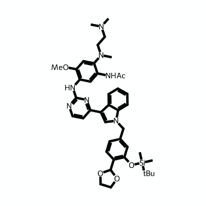 COc1cc(N(C)CCN(C)C)c(NC(C)=O)cc1Nc1nccc(-c2cn(Cc3ccc(C4OCCO4)c(O[Si](C)(C)C(C)(C)C)c3)c3ccccc23)n1